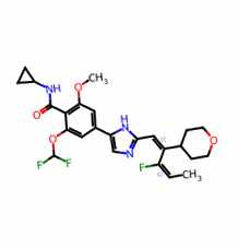 C/C=C(F)\C(=C/c1ncc(-c2cc(OC)c(C(=O)NC3CC3)c(OC(F)F)c2)[nH]1)C1CCOCC1